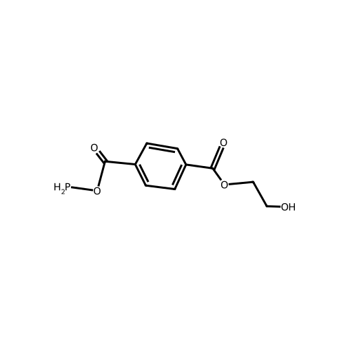 O=C(OP)c1ccc(C(=O)OCCO)cc1